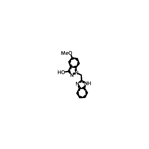 COc1ccc2c(c1)c(O)nn2Cc1nc2ccccc2[nH]1